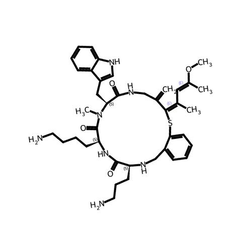 C=C1CNC(=O)[C@H](Cc2c[nH]c3ccccc23)N(C)C(=O)[C@H](CCCCN)NC(=O)[C@H](CCCN)NCc2ccccc2S/C1=C(C)/C=C(\C)OC